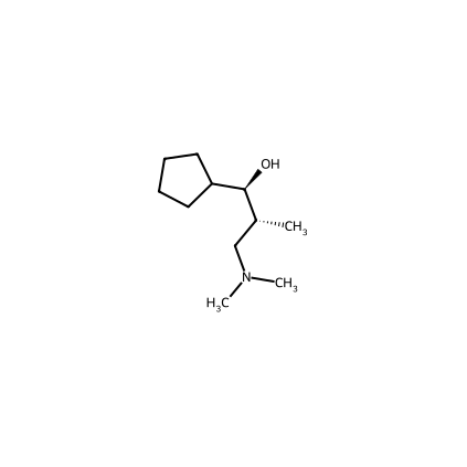 C[C@H](CN(C)C)[C@H](O)C1CCCC1